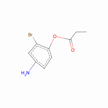 CCC(=O)Oc1ccc(N)cc1Br